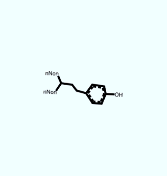 CCCCCCCCCC(CCCCCCCCC)CCc1ccc(O)cc1